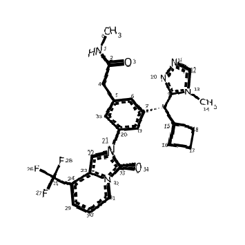 CNC(=O)Cc1cc([C@H](c2nncn2C)C2CCC2)cc(-n2cc3c(C(F)(F)F)cccn3c2=O)c1